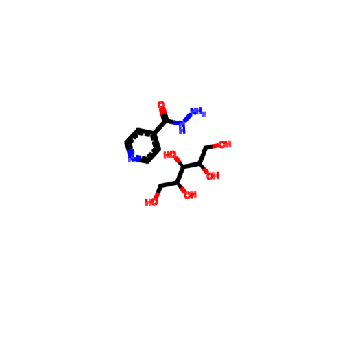 NNC(=O)c1ccncc1.OC[C@@H](O)[C@H](O)[C@@H](O)CO